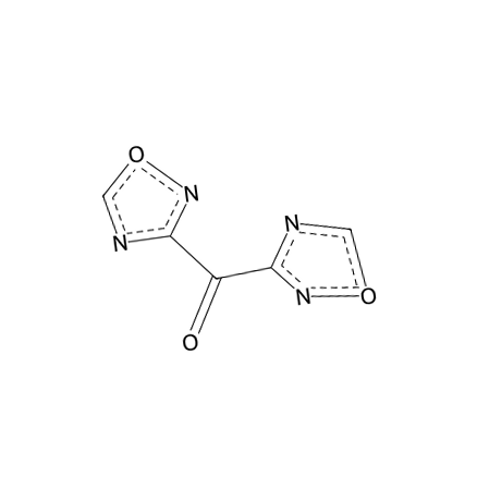 O=C(c1ncon1)c1ncon1